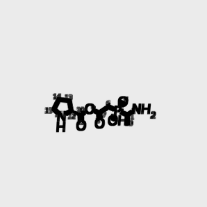 CC(N)P(=O)(O)CC(=O)OC(=O)[C@@H]1CCCN1